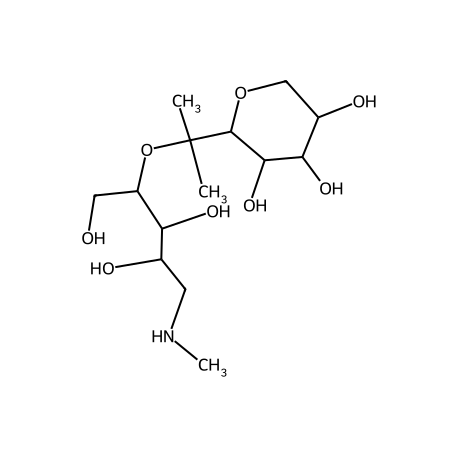 CNCC(O)C(O)C(CO)OC(C)(C)C1OCC(O)C(O)C1O